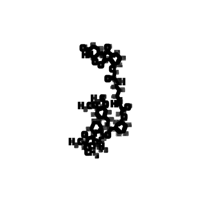 CCC(C)(C)C(=O)C(=O)N1CCCC[C@H]1C(C)O[C@H](CCc1ccc(OC)c(OC)c1)c1cccc(OCC(=O)NCCCCNC(=O)COc2cccc3c2C(=O)N(C2CCC(=O)NC2=O)C3=O)c1